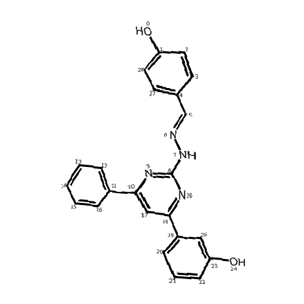 Oc1ccc(C=NNc2nc(-c3ccccc3)cc(-c3cccc(O)c3)n2)cc1